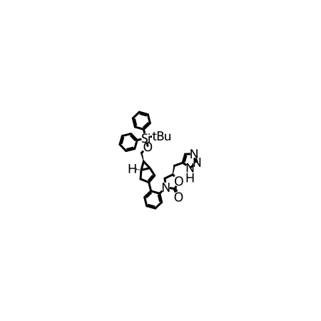 CC(C)(C)[Si](OC[C@H]1C2C=C(c3ccccc3N3C[C@@H](Cc4cnn[nH]4)OC3=O)C[C@H]21)(c1ccccc1)c1ccccc1